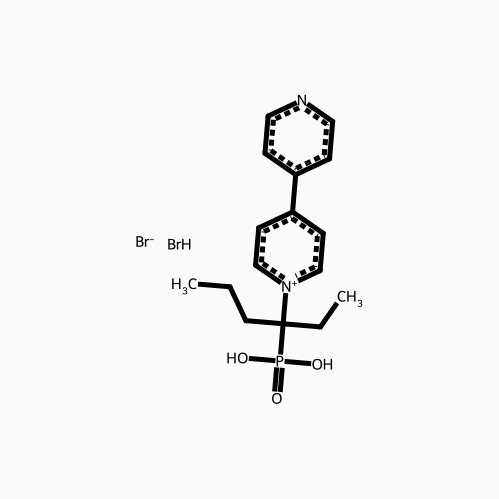 Br.CCCC(CC)([n+]1ccc(-c2ccncc2)cc1)P(=O)(O)O.[Br-]